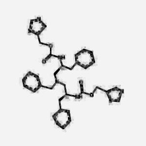 O=C(N[C@@H](Cc1ccccc1)CN(Cc1ccccc1)C[C@H](Cc1ccccc1)NC(=O)OCc1cncs1)OCc1cncs1